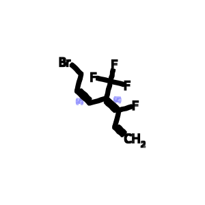 C=C/C(F)=C(\C=C/CBr)C(F)(F)F